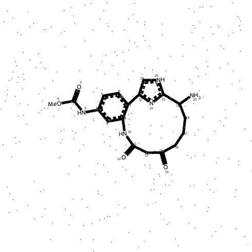 COC(=O)Nc1ccc2c(c1)NC(=O)CC(=O)CCCC(N)c1nc-2c[nH]1